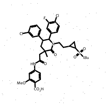 COc1cc(NC(=O)CC2(C)CC(c3cccc(Cl)c3)C(c3ccc(Cl)c(F)c3)N(CCC3CC3S(=O)(=O)C(C)(C)C)C2=O)ccc1C(=O)O